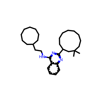 CC1(C)CCCCCCCCC(c2nc(NCCC3CCCCCCCC3)c3ccccc3n2)C1